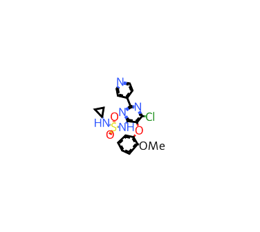 COc1ccccc1Oc1c(Cl)nc(-c2ccncc2)nc1NS(=O)(=O)NC1CC1